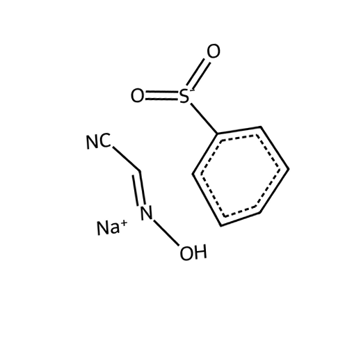 N#CC=NO.O=[S-](=O)c1ccccc1.[Na+]